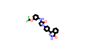 O=C1C(Nc2cccc(OC(F)F)c2)CCN1c1ccc(-c2n[nH]c(=O)c3ccccc23)cc1